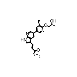 C[C@H](O)COc1ncc(-c2cnc3[nH]cc(C=CC(N)=O)c3c2)cc1F